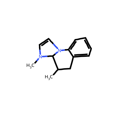 CC1Cc2ccccc2N2C=CN(C)C12